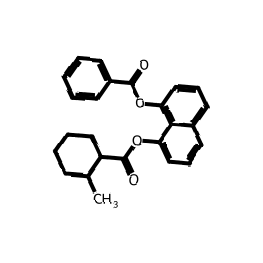 CC1CCCCC1C(=O)Oc1cccc2cccc(OC(=O)c3ccccc3)c12